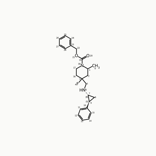 CC1CC(F)(CN[C@@H]2C[C@H]2c2ccccc2)CCN1C(=O)OCc1ccccc1